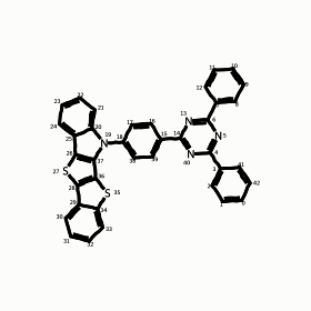 c1ccc(-c2nc(-c3ccccc3)nc(-c3ccc(-n4c5ccccc5c5sc6c7ccccc7sc6c54)cc3)n2)cc1